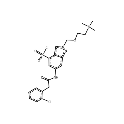 C[Si](C)(C)CCOCn1cc2c(S(=O)(=O)Cl)cc(NC(=O)Cc3ccccc3Cl)cc2n1